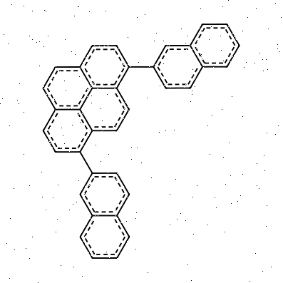 c1ccc2cc(-c3ccc4ccc5ccc(-c6ccc7ccccc7c6)c6ccc3c4c56)ccc2c1